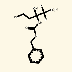 CC(C)CCC(O)(NC(=O)OCc1ccccc1)C(F)(F)C(=O)O